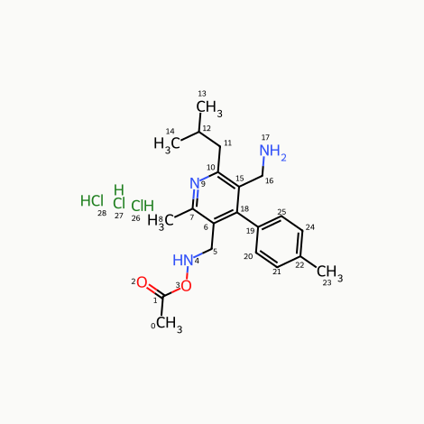 CC(=O)ONCc1c(C)nc(CC(C)C)c(CN)c1-c1ccc(C)cc1.Cl.Cl.Cl